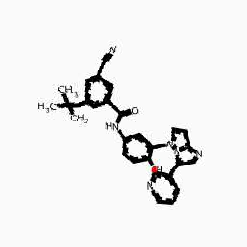 Cc1ccc(NC(=O)c2cc(C#N)cc(C(C)(C)C)c2)cc1-n1ccc2ncc(-c3cccnc3)n21